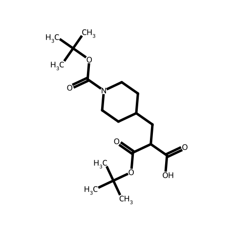 CC(C)(C)OC(=O)C(CC1CCN(C(=O)OC(C)(C)C)CC1)C(=O)O